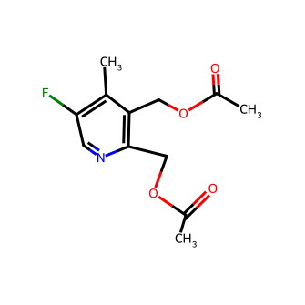 CC(=O)OCc1ncc(F)c(C)c1COC(C)=O